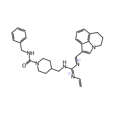 C=C/N=C(\N=C\c1cn2c3c(cccc13)CCC2)NCC1CCN(C(=O)NCc2ccccc2)CC1